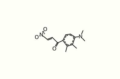 Cc1c(C(=O)C=C[N+](=O)[O-])ccc(N(C)C)c1C